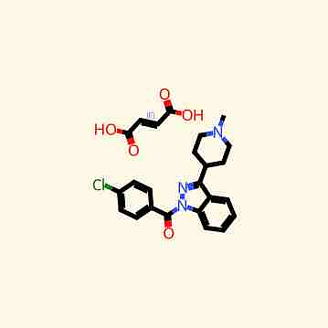 CN1CCC(c2nn(C(=O)c3ccc(Cl)cc3)c3ccccc23)CC1.O=C(O)/C=C/C(=O)O